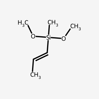 CC=C[Si](C)(OC)OC